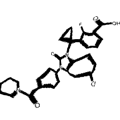 O=C(O)c1cccc(C2(n3c(=O)n(-c4ccc(C(=O)N5CCCCC5)cc4)c4cc(Cl)ccc43)CC2)c1F